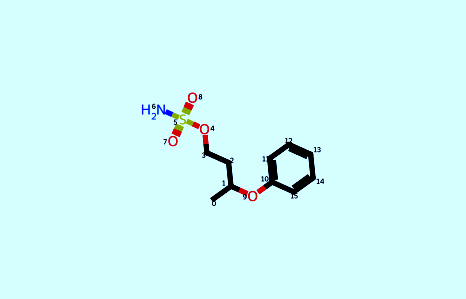 CC(CCOS(N)(=O)=O)Oc1ccccc1